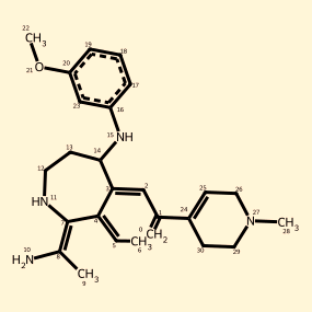 C=C(\C=C1C(=C\C)/C(=C(\C)N)NCCC/1Nc1cccc(OC)c1)C1=CCN(C)CC1